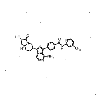 Nc1nccn2c([C@H]3CC[C@@H]4C[C@H](O)C(=O)N4C3)nc(-c3ccc(C(=O)Nc4cc(C(F)(F)F)ccn4)cc3)c12